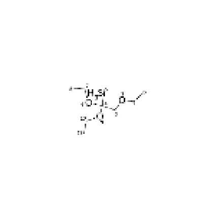 CCOCC([SiH3])(OCC)OCC